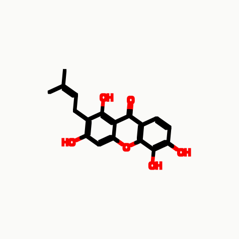 CC(C)=CCc1c(O)cc2oc3c(O)c(O)ccc3c(=O)c2c1O